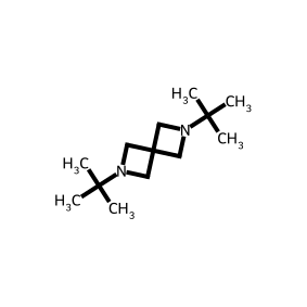 CC(C)(C)N1CC2(C1)CN(C(C)(C)C)C2